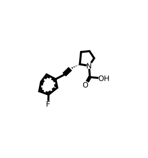 O=C(O)N1CCC[C@H]1C#Cc1cccc(F)c1